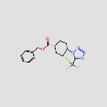 O=C(OCc1ccccc1)[C@H]1CC[C@H](n2nnnc2C(F)(F)F)CC1